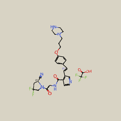 N#C[C@@H]1CC(F)(F)CN1C(=O)CNC(=O)c1ccncc1/C=C/c1ccc(OCCCN2CCNCC2)cc1.O=C(O)C(F)(F)F